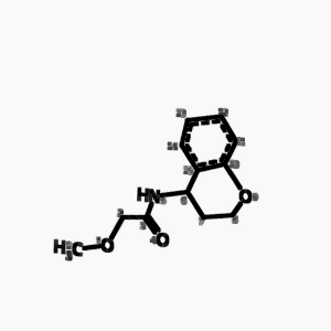 COCC(=O)NC1CCOc2ccccc21